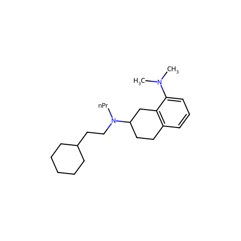 CCCN(CCC1CCCCC1)C1CCc2cccc(N(C)C)c2C1